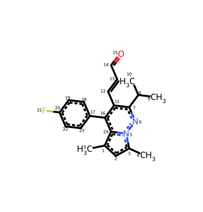 Cc1cc(C)n2nc(C(C)C)c(C=CC=O)c(-c3ccc(F)cc3)c12